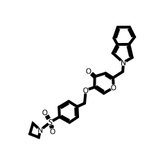 O=c1cc(Cn2cc3ccccc3c2)occ1OCc1ccc(S(=O)(=O)N2CCC2)cc1